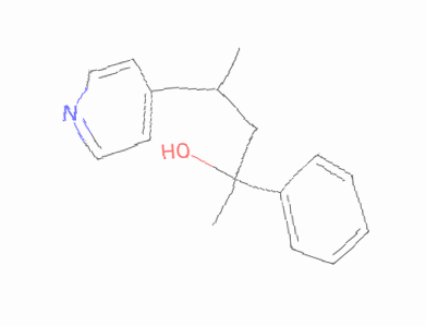 CC(CC(C)(O)c1ccccc1)c1ccncc1